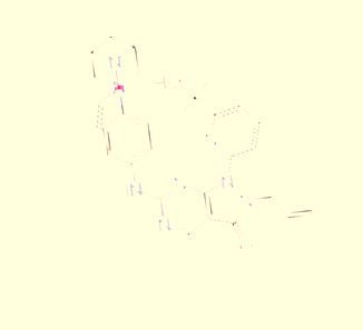 C=CCN1C2CC1CN(c1ccc(Nc3ncc4c(=O)n(CC=C)n(-c5cccc(C(C)(C)O)n5)c4n3)cc1)C2